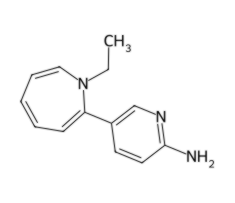 CCN1C=CC=CC=C1c1ccc(N)nc1